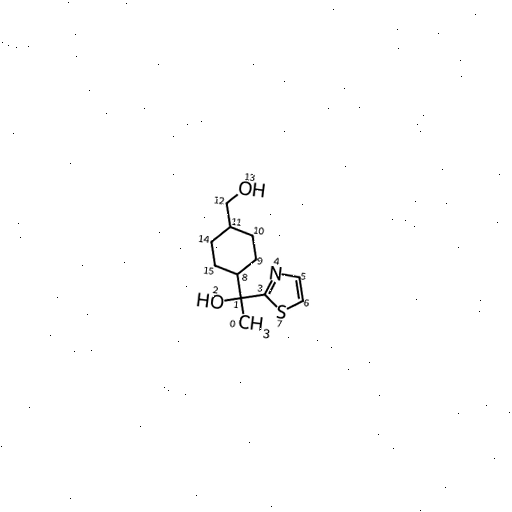 CC(O)(c1nccs1)C1CCC(CO)CC1